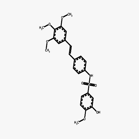 COc1ccc(S(=O)(=O)Nc2ccc(C=Cc3cc(OC)c(OC)c(OC)c3)cc2)cc1O